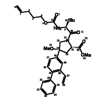 C=CCCCOC(=O)N[C@H](C(=O)N1C[C@](OC)(c2ccc(-c3ccccc3)c(C=C)c2)C[C@H]1C(=O)OC)C(C)(C)C